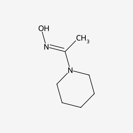 CC(=NO)N1CCCCC1